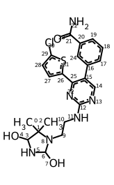 CC1(C)C(O)NC(O)N1CCNc1ncc(-c2cccc(C(N)=O)c2)c(-c2ccc(Cl)s2)n1